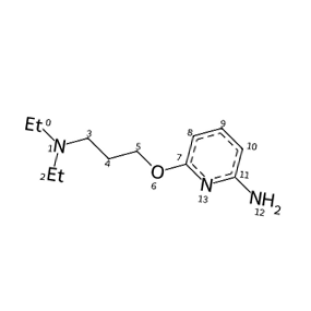 CCN(CC)CCCOc1cccc(N)n1